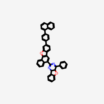 c1ccc(C2=NC(c3cc4c5ccc(-c6ccc(-c7cccc8ccccc78)cc6)cc5oc4c4ccccc34)=NC3c4ccccc4OC23)cc1